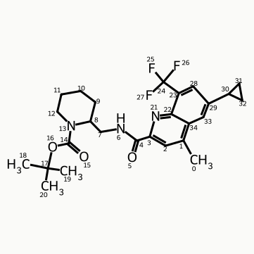 Cc1cc(C(=O)NCC2CCCCN2C(=O)OC(C)(C)C)nc2c(C(F)(F)F)cc(C3CC3)cc12